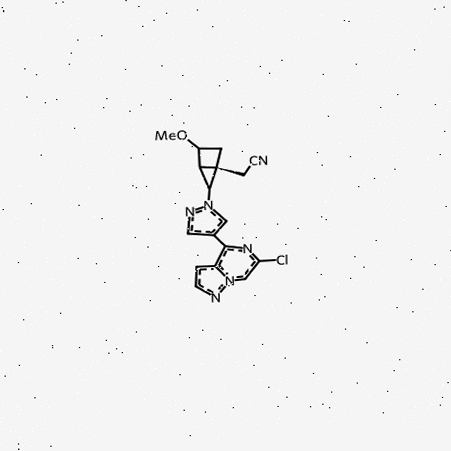 COC1C[C@@]2(CC#N)C1C2n1cc(-c2nc(Cl)cn3nccc23)cn1